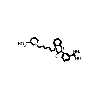 N=C(N)c1cccc(C2Oc3ccccc3N(CCCCCN3CCCC(C(=O)O)C3)C2=O)c1